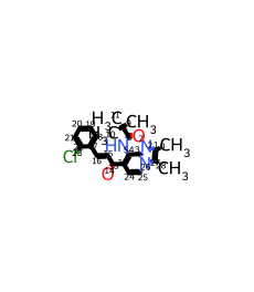 Cc1nc2c(NC(=O)C(C)(C)C)c(C(=O)C=Cc3ccccc3Cl)ccn2c1C